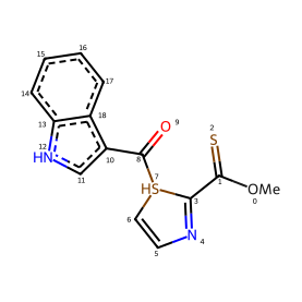 COC(=S)C1=NC=C[SH]1C(=O)c1c[nH]c2ccccc12